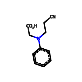 N#CCCN(CC(=O)O)c1ccccc1